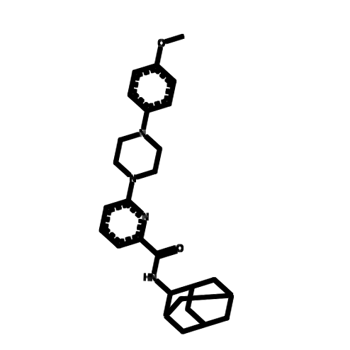 COc1ccc(N2CCN(c3cccc(C(=O)NC4C5CC6CC(C5)CC4C6)n3)CC2)cc1